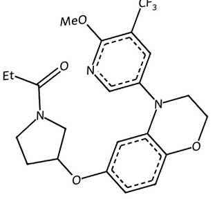 CCC(=O)N1CCC(Oc2ccc3c(c2)N(c2cnc(OC)c(C(F)(F)F)c2)CCO3)C1